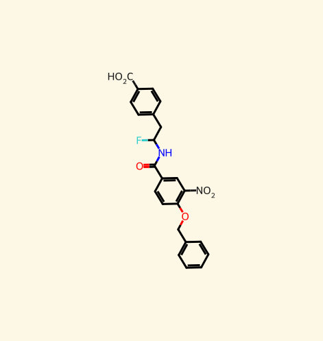 O=C(O)c1ccc(CC(F)NC(=O)c2ccc(OCc3ccccc3)c([N+](=O)[O-])c2)cc1